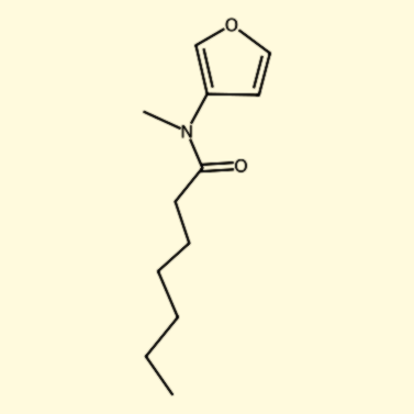 CCCCCCC(=O)N(C)c1ccoc1